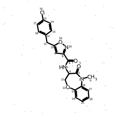 CN1C(=O)C(NC(=O)c2cc(Cc3ccc(Cl)cc3)on2)COc2ccccc21